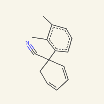 Cc1cccc(C2(C#N)C=CC=CC2)c1C